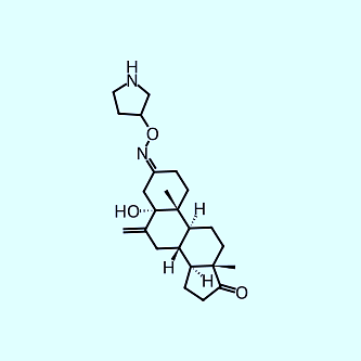 C=C1C[C@H]2[C@@H]3CCC(=O)[C@@]3(C)CC[C@@H]2[C@@]2(C)CCC(=NOC3CCNC3)C[C@]12O